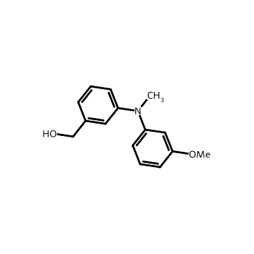 COc1cccc(N(C)c2cccc(CO)c2)c1